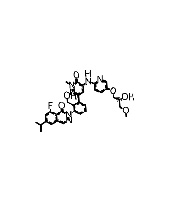 C=C(C)c1cc(F)c2c(=O)n(-c3cccc(-c4cc(Nc5ccc(OC[C@H](O)COC)cn5)c(=O)n(C)n4)c3CO)ncc2c1